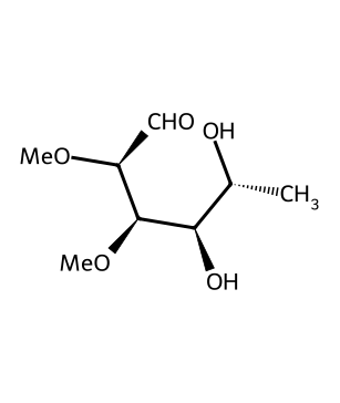 CO[C@H]([C@H](O)[C@@H](C)O)[C@H](C=O)OC